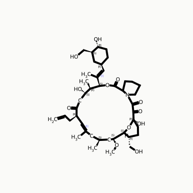 C=CC[C@@H]1/C=C(\C)C[C@H](C)C[C@H](OC)[C@H]2O[C@](O)(CC[C@@H]2CO)C(=O)C(=O)N2CCCCC2C(=O)O[C@H](/C(C)=C/[C@@H]2CC[C@@H](O)[C@H](CO)C2)[C@H](C)[C@@H](O)CC1=O